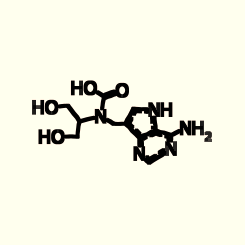 Nc1ncnc2c(CN(C(=O)O)C(CO)CO)c[nH]c12